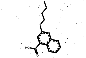 CCCCOc1cc(C(=O)O)c2ccccc2n1